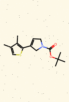 Cc1csc(C2=CCN(C(=O)OC(C)(C)C)C2)c1C